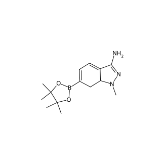 CN1N=C(N)C2=CC=C(B3OC(C)(C)C(C)(C)O3)CC21